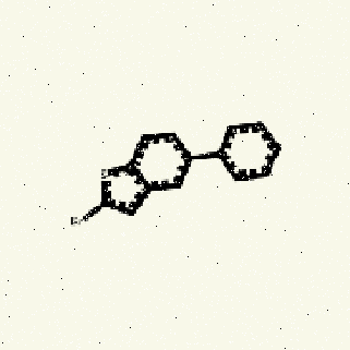 Brc1cc2cc(-c3ccccc3)ccc2s1